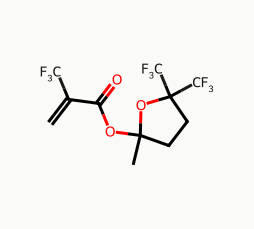 C=C(C(=O)OC1(C)CCC(C(F)(F)F)(C(F)(F)F)O1)C(F)(F)F